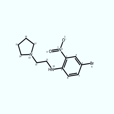 O=[N+]([O-])c1cc(Br)ccc1NCCN1CCCC1